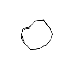 [C]1=C/CCCCCCCC\C=C/1